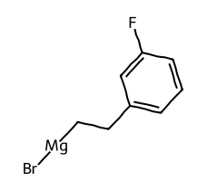 Fc1cccc(C[CH2][Mg][Br])c1